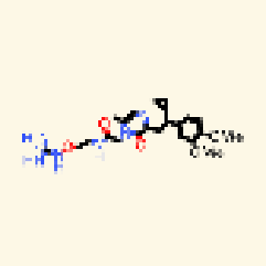 COc1ccc(C(Cc2ncc(C)n(CC(=O)NCCONC(=N)N)c2=O)C2CC2)cc1OC